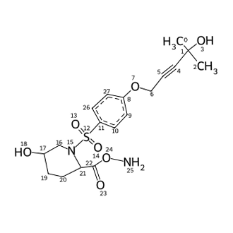 CC(C)(O)C#CCOc1ccc(S(=O)(=O)N2CC(O)CCC2C(=O)ON)cc1